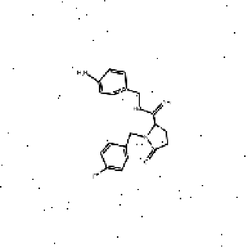 N=C(NCc1ccc(N)cc1)C1CCC(=O)N1Cc1ccc(F)cc1